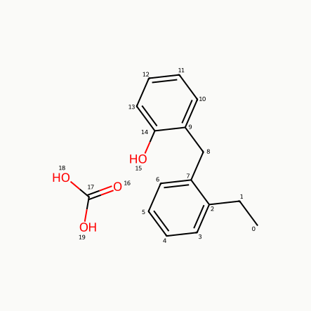 CCc1ccccc1Cc1ccccc1O.O=C(O)O